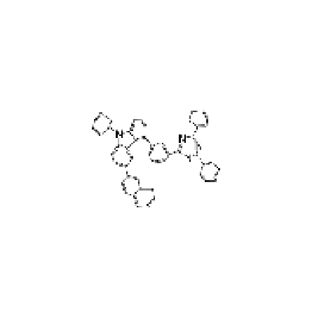 C1=CCCC(c2nc(-c3ccccc3)nc(-c3cccc(-c4cccc5c4c4cc(-c6ccc7ccccc7c6)ccc4n5-c4ccccc4)c3)n2)=C1